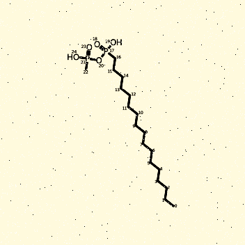 CCCCCCCCCCCCCCCCCP(=O)(O)OP(C)(=O)O